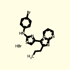 Br.CCCc1nc2ncccn2c1-c1csc(Nc2ccc(Br)cc2)n1